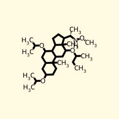 CCC(C)OC1CC2C(C(OC(C)C)CC3CC(OC(C)C)CCC32C)C2CCC([C@H](C)NOC)C12C